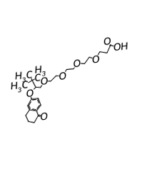 CC(C)(C)C(COCCOCCOCCOCCC(=O)O)Oc1ccc2c(c1)CCCC2=O